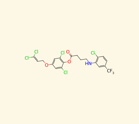 O=C(CCCNc1cc(C(F)(F)F)ccc1Cl)Oc1c(Cl)cc(OCC=C(Cl)Cl)cc1Cl